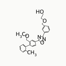 COCc1cc(-c2nc(-c3cccc(COCCO)c3)no2)ccc1-c1ccccc1C